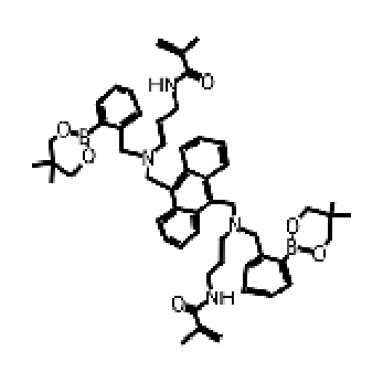 C=C(C)C(=O)NCCCN(Cc1ccccc1B1OCC(C)(C)CO1)Cc1c2ccccc2c(CN(CCCNC(=O)C(=C)C)Cc2ccccc2B2OCC(C)(C)CO2)c2ccccc12